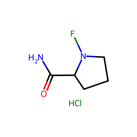 Cl.NC(=O)C1CCCN1F